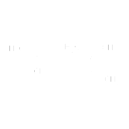 C=C(C)/C=C\C=C/C(=C)C(=C)C